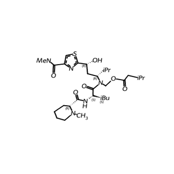 CC[C@H](C)[C@H](NC(=O)[C@H]1CCCCN1C)C(=O)N(COC(=O)CC(C)C)[C@H](C[C@@H](O)c1nc(C(=O)NC)cs1)C(C)C